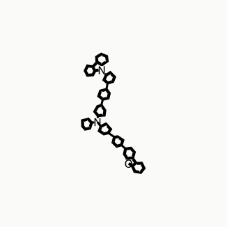 c1ccc(N(c2ccc(-c3ccc(-c4cccc(-n5c6ccccc6c6ccccc65)c4)cc3)cc2)c2ccc(-c3ccc(-c4ccc5c(c4)oc4ccccc45)cc3)cc2)cc1